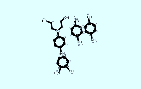 Nc1ccc(N(CCO)CCO)cc1.Nc1ccc(N)nc1.Nc1ccc(O)cc1.Nc1ccccc1O